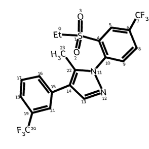 CCS(=O)(=O)c1cc(C(F)(F)F)ccc1-n1ncc(-c2cccc(C(F)(F)F)c2)c1C